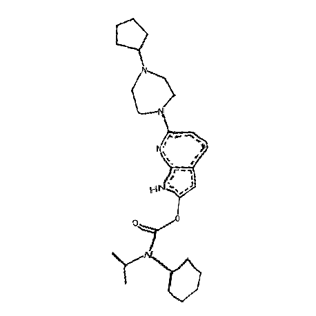 CC(C)N(C(=O)Oc1cc2ccc(N3CCN(C4CCCC4)CC3)nc2[nH]1)C1CCCCC1